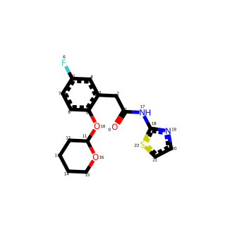 O=C(Cc1cc(F)ccc1OC1CCCCO1)Nc1nccs1